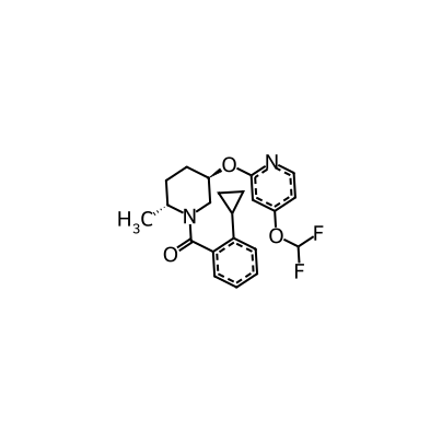 C[C@@H]1CC[C@@H](Oc2cc(OC(F)F)ccn2)CN1C(=O)c1ccccc1C1CC1